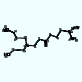 CCCN(N)CCCNCCN(CCO)CCCO